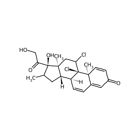 CC1C[C@H]2[C@@H]3C=CC4=CC(=O)C=C[C@]4(C)[C@@]3(Cl)C(Cl)C[C@]2(C)[C@@]1(O)C(=O)CO